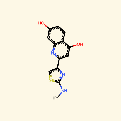 CC(C)Nc1nc(-c2cc(O)c3ccc(O)cc3n2)cs1